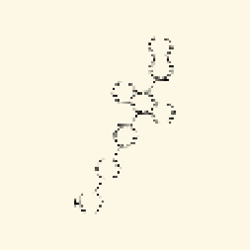 Cc1cc(-c2ccc(C3=CN=CCC3)cc2)ccc1-c1c2ccccc2c(-c2ccc3ccccc3c2)c2ccccc12